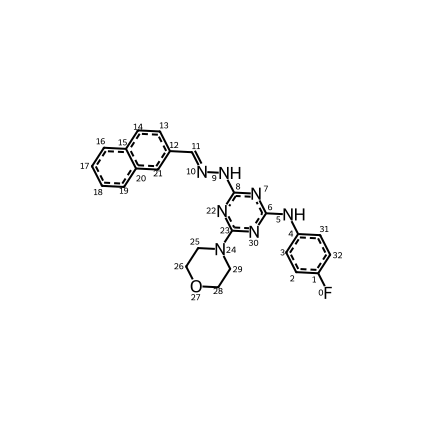 Fc1ccc(Nc2nc(NN=Cc3ccc4ccccc4c3)nc(N3CCOCC3)n2)cc1